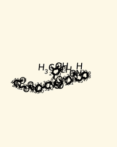 Cc1cc(C[C@@H](OC(=O)N2CCC(N3CCc4ccccc4NC3=O)CC2)C(=O)N2CCC(C3CCN(CC(=O)OCCN4CCCC4=O)CC3)CC2)cc(C)c1O